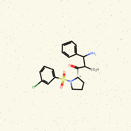 NC(c1ccccc1)C(C(=O)O)C(=O)[C@@H]1CCCN1S(=O)(=O)c1cccc(Cl)c1